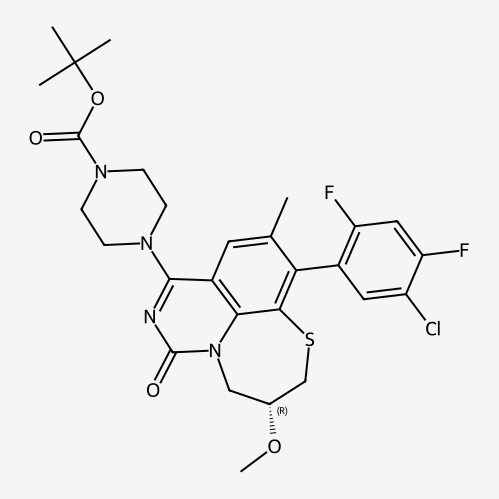 CO[C@H]1CSc2c(-c3cc(Cl)c(F)cc3F)c(C)cc3c(N4CCN(C(=O)OC(C)(C)C)CC4)nc(=O)n(c23)C1